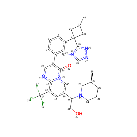 CC1CC(c2cccc(-c3cnc4c(C(F)(F)F)cc(C(CO)N5CCC[C@H](C)C5)cn4c3=O)c2)(c2nncn2C)C1